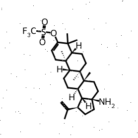 C=C(C)[C@@H]1CC[C@@]2(N)CC[C@]3(C)[C@H](CC[C@@H]4[C@@]5(C)CC=C(OS(=O)(=O)C(F)(F)F)C(C)(C)[C@@H]5CC[C@]43C)[C@@H]12